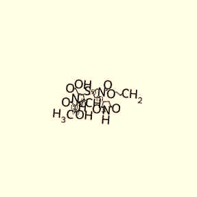 C=CCOC(=O)N1C[C@@H](SC2=C(C(=O)O)N3C(=O)[C@H]([C@@H](C)O)[C@H]3[C@H]2C)C[C@H]1C1CC(=O)NC1=O